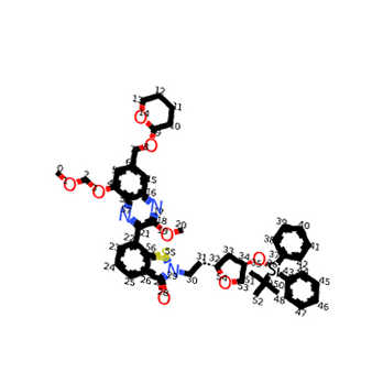 COCOc1cc(COC2CCCCO2)cc2nc(OC)c(-c3cccc4c(=O)n(CC[C@@H]5C[C@@H](O[Si](c6ccccc6)(c6ccccc6)C(C)(C)C)CO5)sc34)nc12